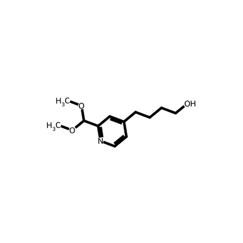 COC(OC)c1cc(CCCCO)ccn1